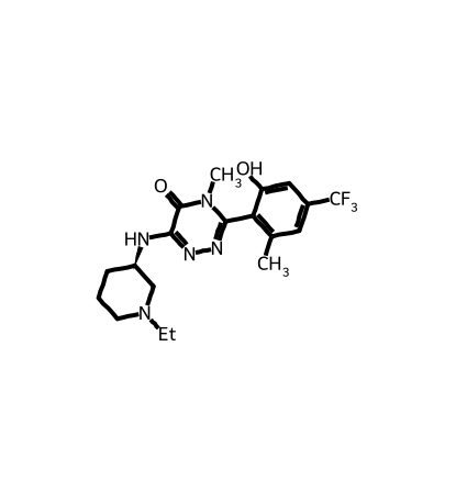 CCN1CCC[C@@H](Nc2nnc(-c3c(C)cc(C(F)(F)F)cc3O)n(C)c2=O)C1